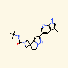 Cc1c[nH]c2ncc(-c3cc4n(n3)CCC43CN(C(=O)NC(C)(C)C)C3)cc12